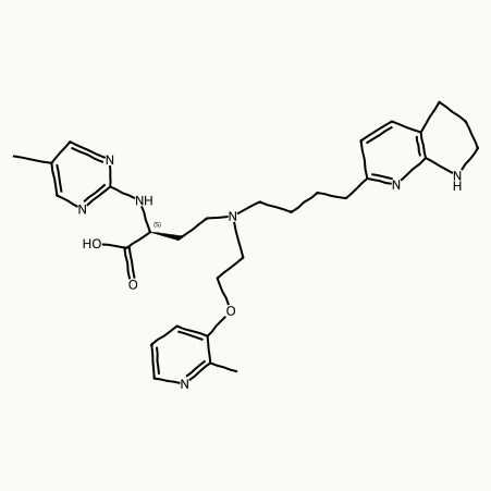 Cc1cnc(N[C@@H](CCN(CCCCc2ccc3c(n2)NCCC3)CCOc2cccnc2C)C(=O)O)nc1